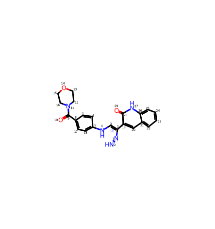 N=N/C(=C\Nc1ccc(C(=O)N2CCOCC2)cc1)c1cc2ccccc2[nH]c1=O